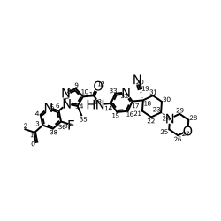 C=C(C)c1cnc(-n2ncc(C(=O)Nc3ccc([C@]4(C#N)CC[C@@H](N5CCOCC5)CC4)nc3)c2C)c(F)c1